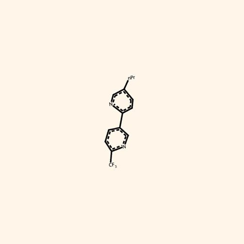 CCCc1ccc(-c2ccc(C(F)(F)F)nc2)nc1